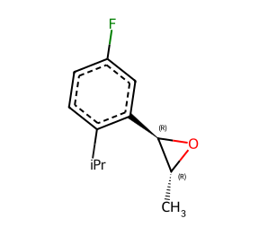 CC(C)c1ccc(F)cc1[C@H]1O[C@@H]1C